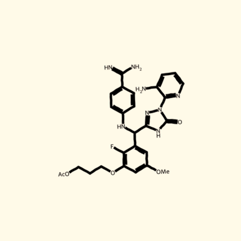 COc1cc(OCCCOC(C)=O)c(F)c(C(Nc2ccc(C(=N)N)cc2)c2nn(-c3ncccc3N)c(=O)[nH]2)c1